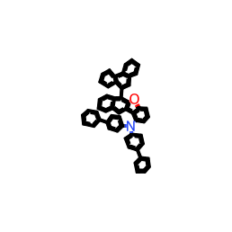 c1ccc(-c2ccc(N(c3ccc(-c4ccccc4)cc3)c3cccc4oc5c(-c6cc7ccccc7c7ccccc67)c6ccccc6cc5c34)cc2)cc1